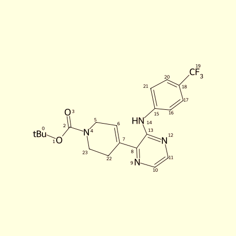 CC(C)(C)OC(=O)N1CC=C(c2nccnc2Nc2ccc(C(F)(F)F)cc2)CC1